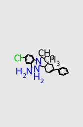 CC(C)N(c1ccc(Cl)cc1CN)C(N)C1CC=C(c2ccccc2)CC1